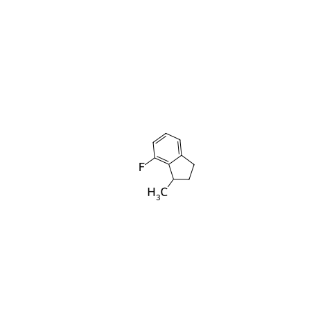 CC1CCc2cccc(F)c21